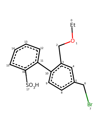 CCOCc1cc(CBr)ccc1-c1ccccc1S(=O)(=O)O